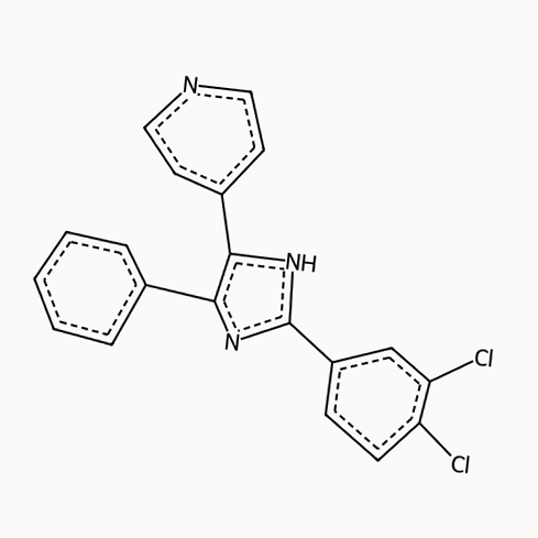 Clc1ccc(-c2nc(-c3ccccc3)c(-c3ccncc3)[nH]2)cc1Cl